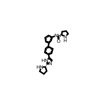 O=C(Nc1cccc(-c2ccc(-c3cnc([C@@H]4CCCN4)[nH]3)cc2)c1)[C@@H]1CCCN1